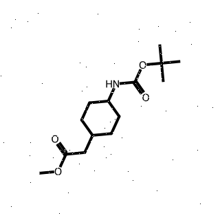 COC(=O)CC1CCC(NC(=O)OC(C)(C)C)CC1